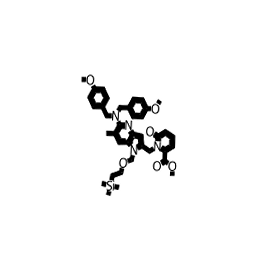 COC(=O)c1cccc(=O)n1Cc1cc2nc(N(Cc3ccc(OC)cc3)Cc3ccc(OC)cc3)c(C)cc2n1COCC[Si](C)(C)C